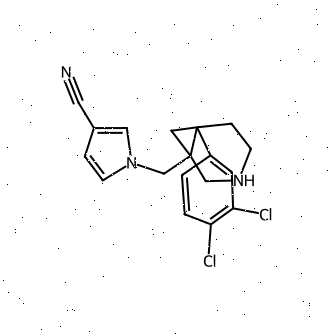 N#Cc1ccn(CC23CNCCC2(c2ccc(Cl)c(Cl)c2)C3)c1